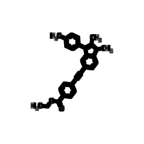 CCOC(=O)c1ccc(C#Cc2ccc3c(c2)C(c2ccc(C)cc2)=C(C)C3C)cc1